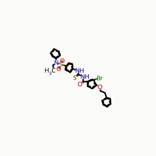 CCN(c1ccccc1)S(=O)(=O)c1ccc(NC(=S)NC(=O)c2ccc(OCCc3ccccc3)c(Br)c2)cc1